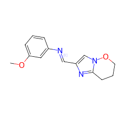 COc1cccc(/N=C/c2cn3c(n2)CCCO3)c1